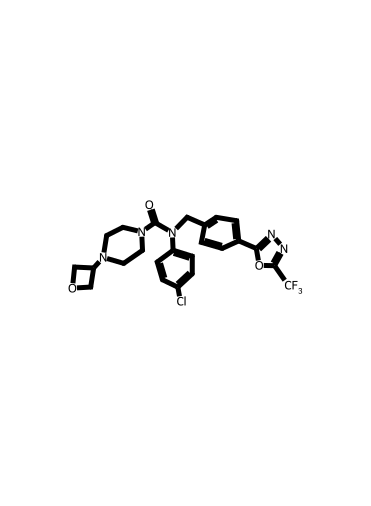 O=C(N1CCN(C2COC2)CC1)N(Cc1ccc(-c2nnc(C(F)(F)F)o2)cc1)c1ccc(Cl)cc1